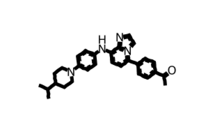 CC(=O)c1ccc(-c2ccc(Nc3ccc(N4CCC(C(C)C)CC4)cc3)c3nccn23)cc1